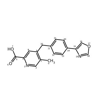 Cc1cnc(C(=O)O)cc1Cc1ccc(-c2cocn2)cc1